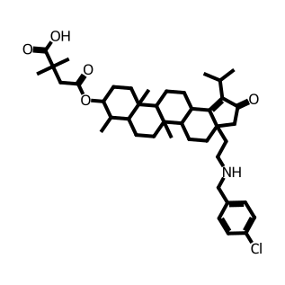 CC(C)C1=C2C3CCC4C(C)(CCC5C(C)C(OC(=O)CC(C)(C)C(=O)O)CCC54C)C3CCC2(CCNCc2ccc(Cl)cc2)CC1=O